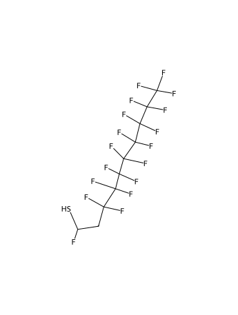 FC(S)CC(F)(F)C(F)(F)C(F)(F)C(F)(F)C(F)(F)C(F)(F)C(F)(F)C(F)(F)F